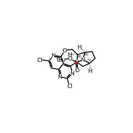 CC(C)(C)OC(=O)N1[C@H]2CC[C@@H]1[C@@H]1COc3nc(Cl)cc4nc(Cl)nc(c34)N1C2